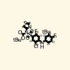 CC(C)(C)OC(=O)N(c1cscn1)S(=O)(=O)c1cc(Cl)c(Nc2[c]cc(F)c(C(C)(C)C)c2)cc1F